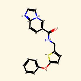 O=C(NCc1ccc(Oc2ccccc2)s1)c1ccc2nccn2c1